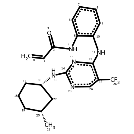 C=CC(=O)Nc1ccccc1Nc1nc(N[C@H]2CCC[C@@H](C)C2)ncc1C(F)(F)F